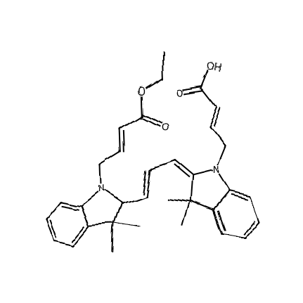 CCOC(=O)C=CCN1c2ccccc2C(C)(C)C1C=CC=C1N(CC=CC(=O)O)c2ccccc2C1(C)C